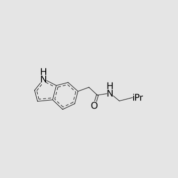 CC(C)CNC(=O)Cc1ccc2cc[nH]c2c1